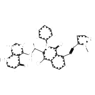 C[C@H](Nc1ncnc2[nH]ccc(=O)c12)c1c(Cl)c2cccc(C#Cc3ccnn3C)c2c(=O)n1-c1ccccc1